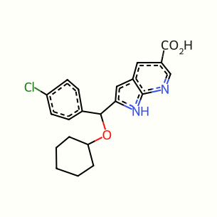 O=C(O)c1cnc2[nH]c(C(OC3CCCCC3)c3ccc(Cl)cc3)cc2c1